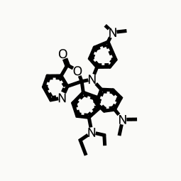 CCN(CC)c1ccc(C2(N(c3ccc(N(C)C)cc3)c3ccc(N(C)C)cc3)OC(=O)c3cccnc32)cc1